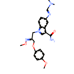 CO/N=C(\COc1ccc(OC)cc1)Cn1cc(C(N)=O)c2cc(/N=C/N(C)C)ccc21